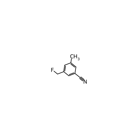 Cc1cc(C#N)cc(CF)c1